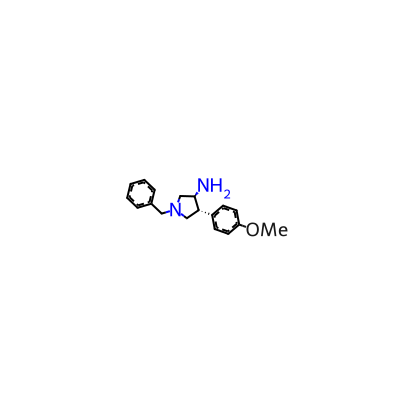 COc1ccc([C@@H]2CN(Cc3ccccc3)C[C@H]2N)cc1